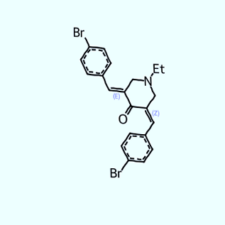 CCN1C/C(=C/c2ccc(Br)cc2)C(=O)/C(=C/c2ccc(Br)cc2)C1